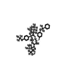 [2H]C([2H])([2H])Oc1ccc(S(=O)(=O)N(C[C@@H](O)[C@H](Cc2ccc(OC([2H])([2H])c3ccccc3)cc2)NC(=O)O[C@]2([2H])[C@@H]3CCO[C@@H]3OC2([2H])[2H])C([2H])([2H])C([2H])(C([2H])([2H])[2H])C([2H])([2H])[2H])cc1